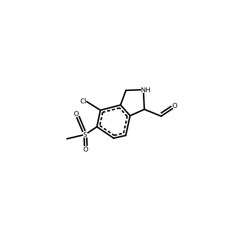 CS(=O)(=O)c1ccc2c(c1Cl)CNC2C=O